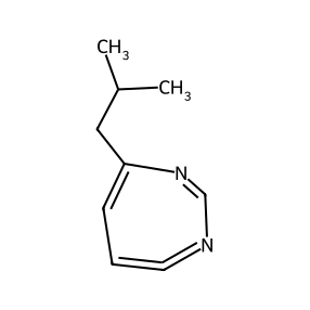 CC(C)CC1=CC=C=NC=N1